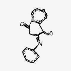 O=C1CC(=Nc2ccccc2)C(=O)c2ccccc21